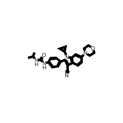 CC(C)NC(=O)Nc1ccc(-c2c(C#N)c3ccc(N4CCOCC4)cc3n2C2CC2)cc1